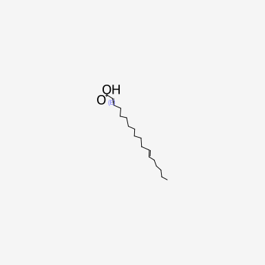 CCCCCC=CCCCCCCCC/C=C/C(=O)O